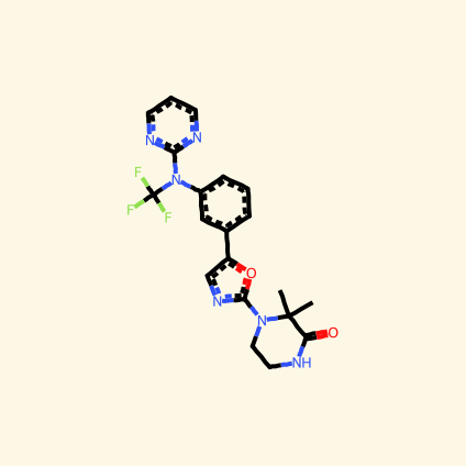 CC1(C)C(=O)NCCN1c1ncc(-c2cccc(N(c3ncccn3)C(F)(F)F)c2)o1